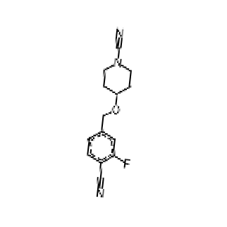 N#Cc1ccc(COC2CCN(C#N)CC2)cc1F